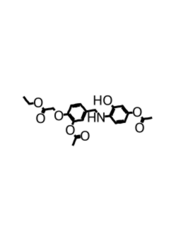 CCOC(=O)COc1ccc(CNc2ccc(OC(C)=O)cc2O)cc1OC(C)=O